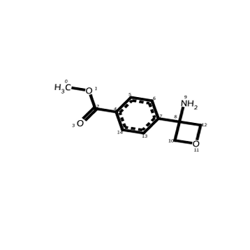 COC(=O)c1ccc(C2(N)COC2)cc1